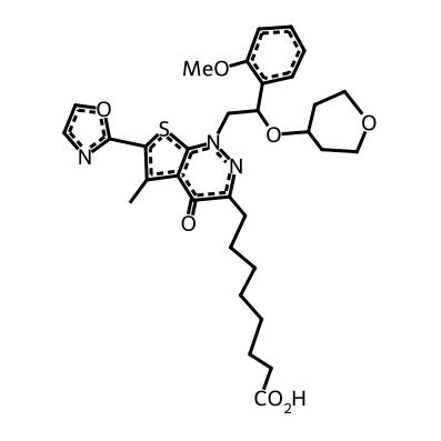 COc1ccccc1C(Cn1nc(CCCCCCCC(=O)O)c(=O)c2c(C)c(-c3ncco3)sc21)OC1CCOCC1